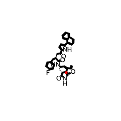 C=C1OCC/C1=C\[C@H](C[C@@H]1CCNC1=O)NC(=O)[C@H](CC(=O)c1ccc(-c2cccc3ccccc23)[nH]1)Cc1ccc(F)cc1